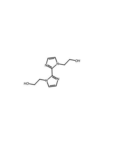 OCCn1ccnc1-c1nccn1CCO